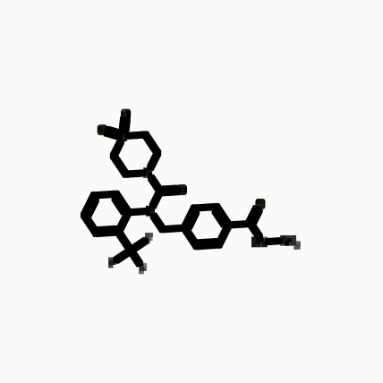 NNC(=O)c1ccc(CN(C(=O)N2CCS(=O)(=O)CC2)c2ccccc2C(F)(F)F)cc1